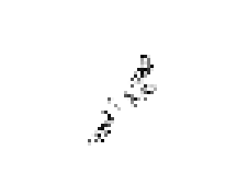 CC1OC1CCCCCCC(=O)OO